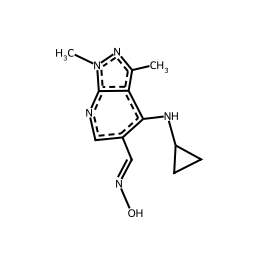 Cc1nn(C)c2ncc(C=NO)c(NC3CC3)c12